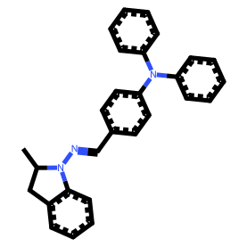 CC1Cc2ccccc2N1N=Cc1ccc(N(c2ccccc2)c2ccccc2)cc1